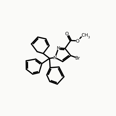 COC(=O)c1nn(C(c2ccccc2)(c2ccccc2)C2C=CC=CC2)cc1Br